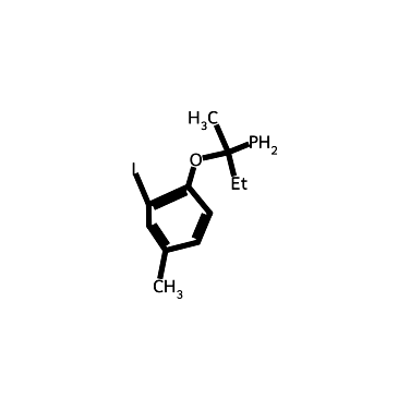 CCC(C)(P)Oc1ccc(C)cc1I